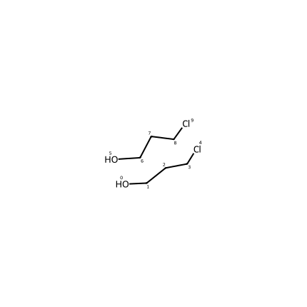 OCCCCl.OCCCCl